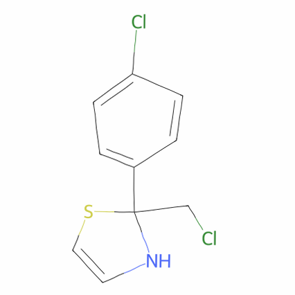 ClCC1(c2ccc(Cl)cc2)NC=CS1